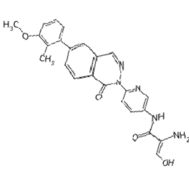 COc1cccc(-c2ccc3c(=O)n(-c4ccc(NC(=O)C(N)=CO)cn4)ncc3c2)c1C